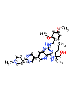 CCCCC(C)(CO)Nc1nc(NCc2ccc(OC)cc2OC)nc2cc(-c3cnc(C4CCN(C)CC4)nc3)cnc12